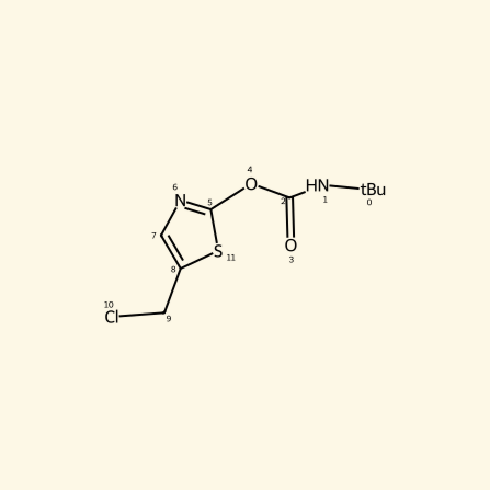 CC(C)(C)NC(=O)Oc1ncc(CCl)s1